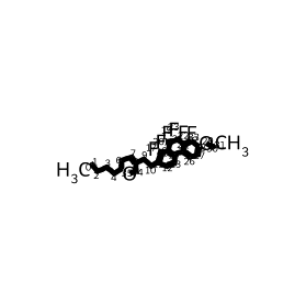 CCCCCC1CC=C(CCc2ccc3c(c2F)C(F)(F)C(F)(F)c2c-3ccc(OCC)c2F)CO1